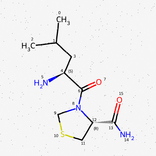 CC(C)C[C@H](N)C(=O)N1CSC[C@H]1C(N)=O